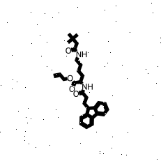 C=CCOC(=O)C(CCCCNC(=O)CC(C)(C)C)NC(=O)CCC1c2ccccc2-c2ccccc21